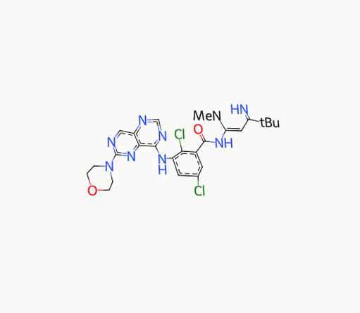 CN/C(=C\C(=N)C(C)(C)C)NC(=O)c1cc(Cl)cc(Nc2ncnc3cnc(N4CCOCC4)nc23)c1Cl